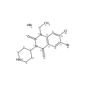 Br.CCn1c(=O)n(C2CCNCC2)c(=O)c2cc(Br)c(Cl)cc21